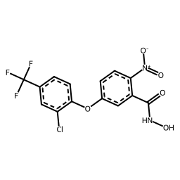 O=C(NO)c1cc(Oc2ccc(C(F)(F)F)cc2Cl)ccc1[N+](=O)[O-]